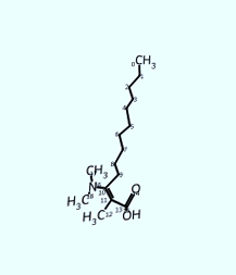 CCCCCCCCCC/C(=C(/C)C(=O)O)N(C)C